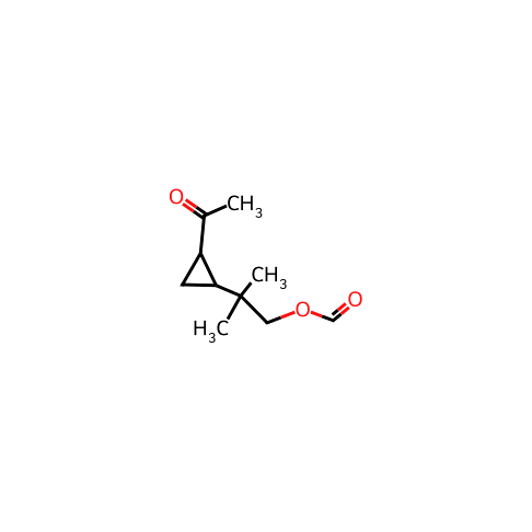 CC(=O)C1CC1C(C)(C)COC=O